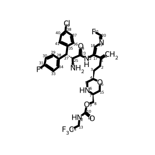 C=C(CC[C@@H]1CN[C@H](COC(=O)NCC(F)(F)F)CO1)/C(=C\N=C/F)NC(=O)C(N)[C@H](c1ccc(F)cc1)c1ccc(Cl)cc1